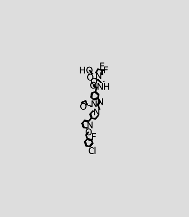 C[C@H](NC(=O)c1ccc2c(c1)nc(CN1CC=C(c3cccc(OCc4ccc(Cl)cc4F)n3)CC1)n2C[C@@H]1CCO1)C(=O)N1CC(F)(F)C[C@H]1C(=O)O